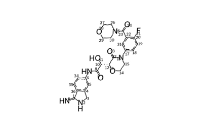 N=C1NCc2cc(NC(=O)C(O)[C@H]3OCCN(c4ccc(F)c(C(=O)N5CCOCC5)c4)C3=O)ccc21